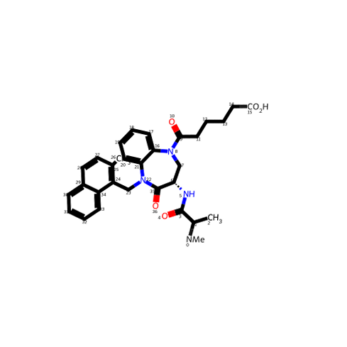 CNC(C)C(=O)N[C@H]1CN(C(=O)CCCCC(=O)O)c2ccccc2N(Cc2c(C)ccc3ccccc23)C1=O